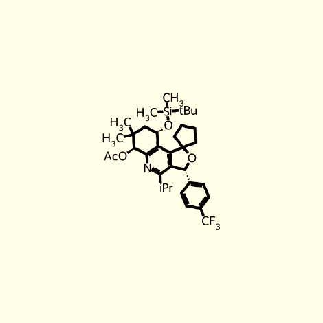 CC(=O)O[C@@H]1c2nc(C(C)C)c3c(c2[C@@H](O[Si](C)(C)C(C)(C)C)CC1(C)C)C1(CCCC1)O[C@@H]3c1ccc(C(F)(F)F)cc1